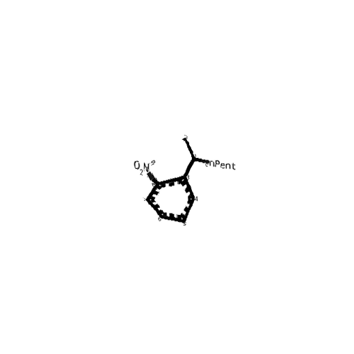 CCCCCC(C)c1ccccc1[N+](=O)[O-]